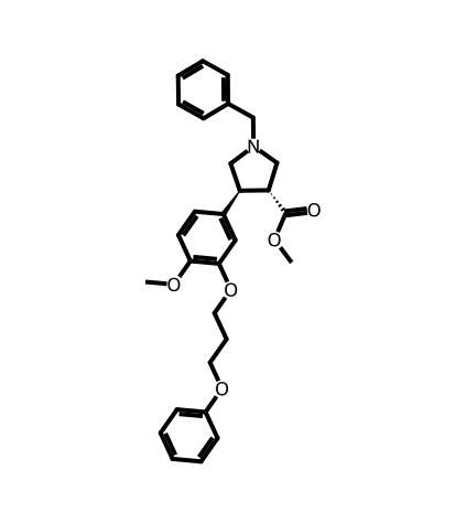 COC(=O)[C@H]1CN(Cc2ccccc2)C[C@@H]1c1ccc(OC)c(OCCCOc2ccccc2)c1